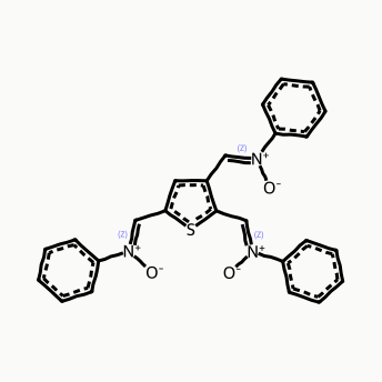 [O-]/[N+](=C\c1cc(/C=[N+](\[O-])c2ccccc2)c(/C=[N+](\[O-])c2ccccc2)s1)c1ccccc1